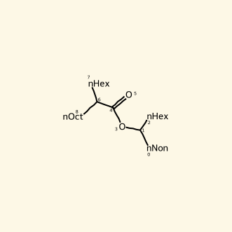 CCCCCCCCCC(CCCCCC)OC(=O)C(CCCCCC)CCCCCCCC